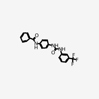 O=C(Nc1ccc(NC(=O)c2ccccc2)cc1)Nc1cccc(C(F)(F)F)c1